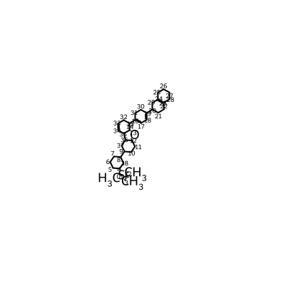 C[Si](C)(C)C1CCCC(C2CCC3OC4C(C5=CC=C(C6CCC7=C(CCCC7)C6)CC5)CC=CC4C3C2)C1